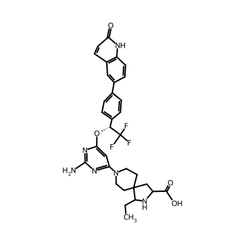 CCC1NC(C(=O)O)CC12CCN(c1cc(O[C@H](c3ccc(-c4ccc5[nH]c(=O)ccc5c4)cc3)C(F)(F)F)nc(N)n1)CC2